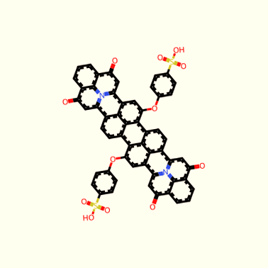 O=c1cc2c3ccc4c5c(Oc6ccc(S(=O)(=O)O)cc6)cc6c7c(ccc(c8c(Oc9ccc(S(=O)(=O)O)cc9)cc(c3c48)c3cc(=O)c4cccc1c4n23)c57)c1cc(=O)c2cccc3c(=O)cc6n1c23